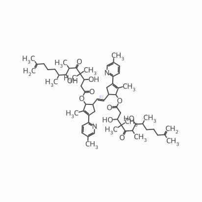 C=C(C)CCCC(C)C(O)C(C)C(=O)C(C)(C)C(O)CC(=O)OC1C(C)=C(c2ccc(C)cn2)CC1/C=C/C1CC(c2ccc(C)cn2)=C(C)C1OC(=O)CC(O)C(C)(C)C(=O)C(C)C(O)C(C)CCCC(=C)C